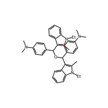 CCn1c(C)c(C(OC(c2ccc(N(C)C)cc2)c2c(C)n(CC)c3ccccc23)c2ccc(N(C)C)cc2)c2ccccc21